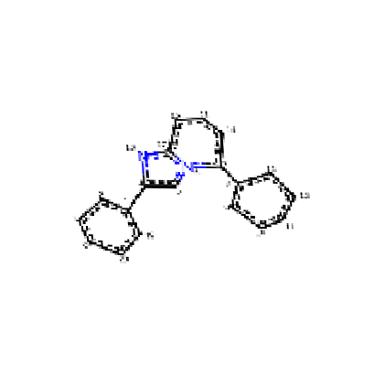 [c]1ccc(-c2cn3c(-c4ccccc4)cccc3n2)cc1